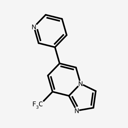 FC(F)(F)c1cc(-c2cccnc2)cn2ccnc12